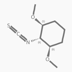 CO[C@H]1CCC[C@@H](OC)[C@@H]1N=C=S